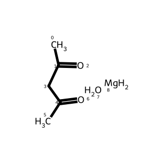 CC(=O)CC(C)=O.O.[MgH2]